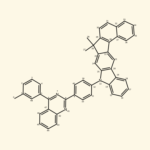 Cc1cccc(-c2nc(-c3ccc(-n4c5ccccc5c5cc6c(cc54)C(C)(C)c4ccc5ccccc5c4-6)cc3)nc3ccccc23)c1